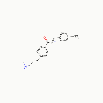 CN(C)CCCc1ccc(C(=O)/C=C/c2ccc([N+](=O)[O-])cc2)cc1